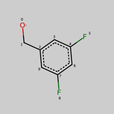 [O]Cc1cc(F)cc(F)c1